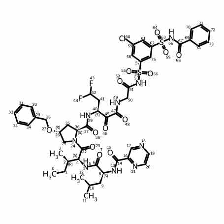 CC[C@@H](C)[C@H](NC(=O)[C@H](CC(C)C)NC(=O)c1cnccn1)C(=O)N1C[C@H](OCc2ccccc2)C[C@H]1C(=O)N[C@@H](CC(F)F)C(=O)C(=O)NCC(=O)NS(=O)(=O)c1cc(Cl)cc(S(=O)(=O)NC(=O)c2ccccc2)c1